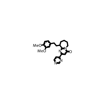 COc1ccc(CCC2CCCCn3c2nc(-c2ccncn2)cc3=O)cc1OC